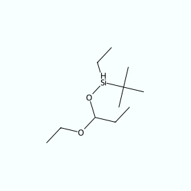 CCOC(CC)O[SiH](CC)C(C)(C)C